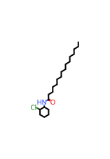 CCCCCCCCCCCCCCCC(=O)NC1CCCCC1Cl